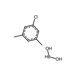 Cc1cc(C)cc(Cl)c1.OBO